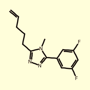 C=CCCCc1nnc(-c2cc(F)cc(F)c2)n1C